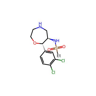 CCS(=O)(=O)N[C@@H]1CNCCO[C@H]1c1ccc(Cl)c(Cl)c1